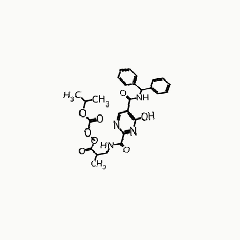 CC(C)OC(=O)OOC(=O)C(C)CNC(=O)c1ncc(C(=O)NC(c2ccccc2)c2ccccc2)c(O)n1